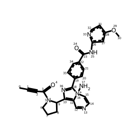 CC#CC(=O)N1CCCC1C1=C2C=NC=C[N+]2(N)C(c2ccc(C(=O)Nc3cc(OC)ccn3)cc2)=N1